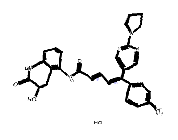 Cl.O=C(/C=C/C=C(/c1ccc(C(F)(F)F)cc1)c1cnc(N2CCCC2)nc1)Nc1cccc2c1CC(O)C(=O)N2